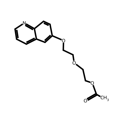 CC(=O)OCCOCCOc1ccc2ncccc2c1